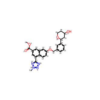 COC(=O)c1cc(-c2nnn(C)n2)c2ccc(OCc3cccc(C4CC(O)CCO4)c3)cc2c1